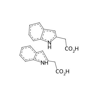 O=C(O)Cc1cc2ccccc2[nH]1.O=C(O)Cc1cc2ccccc2[nH]1